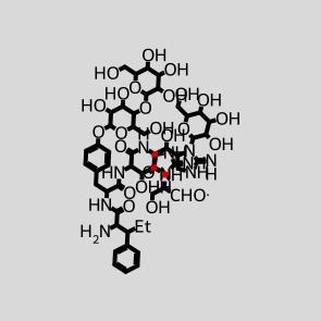 CCC(c1ccccc1)C(N)C(=O)NC(Cc1ccc(OC2OC(CO)C(OC3OC(CO)C(O)C(O)C3O)C(O)C2O)cc1)C(=O)NC(C(=O)NC(C(=O)NC([C]=O)CO)C(O)C1CNC(=N)N1C1OC(CO)C(O)C(O)C1O)C(O)C1CNC(=N)N1